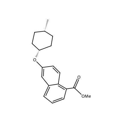 COC(=O)c1cccc2cc(O[C@H]3CC[C@@H](C)CC3)ccc12